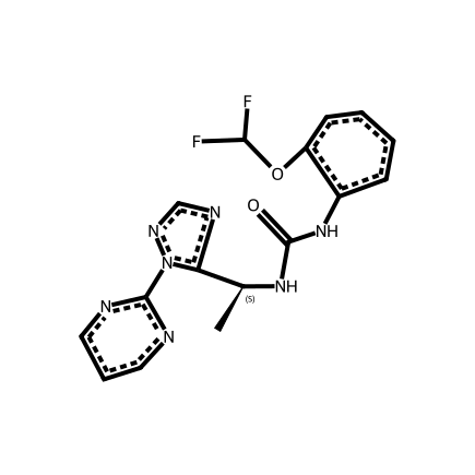 C[C@H](NC(=O)Nc1ccccc1OC(F)F)c1ncnn1-c1ncccn1